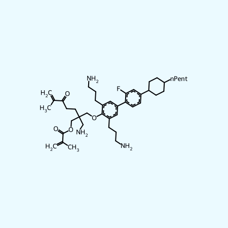 C=C(C)C(=O)CCC(CN)(COC(=O)C(=C)C)COc1c(CCCN)cc(-c2ccc(C3CCC(CCCCC)CC3)cc2F)cc1CCCN